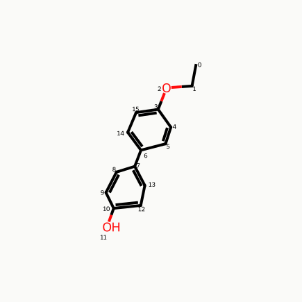 CCOc1ccc(-c2ccc(O)cc2)cc1